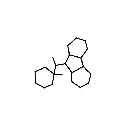 CC(C1C2CCCCC2C2CCCCC21)C1(C)CCCCC1